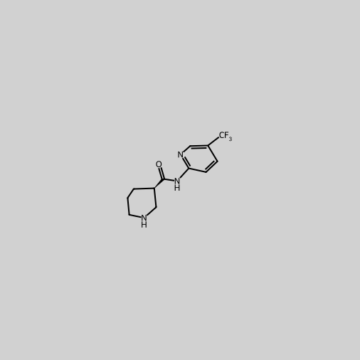 O=C(Nc1ccc(C(F)(F)F)cn1)[C@@H]1CCCNC1